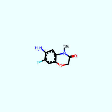 CC(C)(C)N1C(=O)COc2cc(F)c(N)cc21